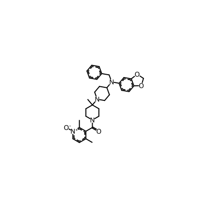 Cc1cc[n+]([O-])c(C)c1C(=O)N1CCC(C)(N2CCC(N(Cc3ccccc3)c3ccc4c(c3)OCO4)CC2)CC1